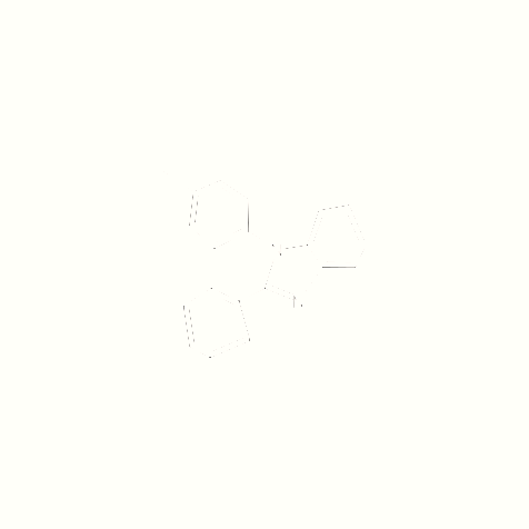 Cc1ccc(-n2c(-c3ccccc3)nc3ccccc32)cc1